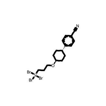 N#Cc1ccc([C@H]2CC[C@H](OCCC[Si](Br)(Br)Br)CC2)cc1